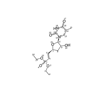 CCOP(=O)(/C=C/[C@@H]1CC(O)[C@H](n2cc(C)c(=O)[nH]c2=O)O1)OCC